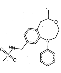 CC1Cc2ccc(CNS(C)(=O)=O)cc2N(c2ccccc2)CCO1